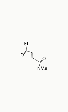 CCC(=O)/C=C/C(=O)NC